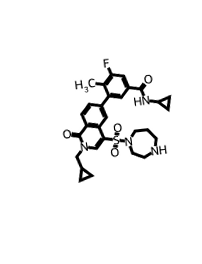 Cc1c(F)cc(C(=O)NC2CC2)cc1-c1ccc2c(=O)n(CC3CC3)cc(S(=O)(=O)N3CCCNCC3)c2c1